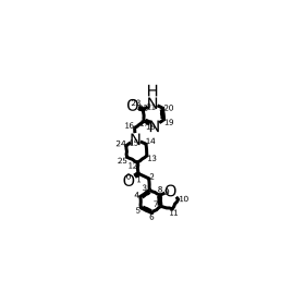 O=C(Cc1cccc2c1OCC2)C1CCN(Cc2ncc[nH]c2=O)CC1